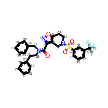 O=C(c1noc2c1CN(S(=O)(=O)c1cccc(C(F)(F)F)c1)CC2)N(CCc1ccccc1)Cc1ccccc1